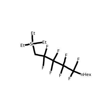 CCCCCCC(F)(F)C(F)(F)C(F)(F)C(F)(F)C[Si](CC)(CC)CC